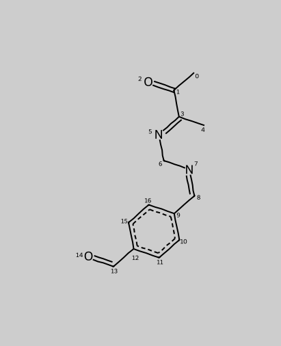 CC(=O)/C(C)=N/C/N=C\c1ccc(C=O)cc1